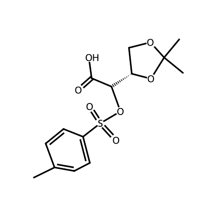 Cc1ccc(S(=O)(=O)OC(C(=O)O)[C@@H]2COC(C)(C)O2)cc1